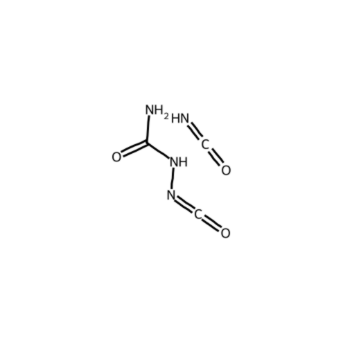 N=C=O.NC(=O)NN=C=O